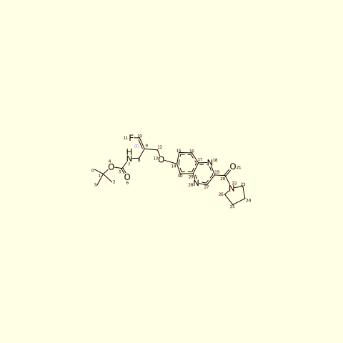 CC(C)(C)OC(=O)NC/C(=C\F)COc1ccc2nc(C(=O)N3CCCC3)cnc2c1